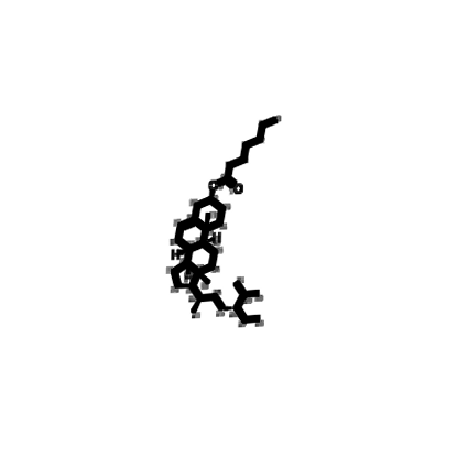 CCCCCCC(=O)O[C@H]1CC[C@@]2(C)C(=CC[C@H]3[C@@H]4CC[C@H]([C@H](C)CC[C@@H](CC)C(C)C)[C@@]4(C)CC[C@@H]32)C1